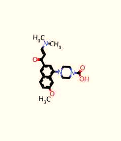 COc1ccc2cc(C(=O)C=CN(C)C)cc(N3CCN(C(=O)O)CC3)c2c1